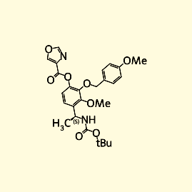 COc1ccc(COc2c(OC(=O)c3cocn3)ccc([C@H](C)NC(=O)OC(C)(C)C)c2OC)cc1